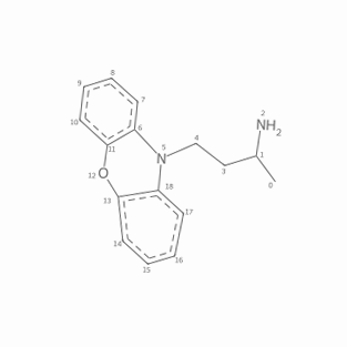 CC(N)CCN1c2ccccc2Oc2ccccc21